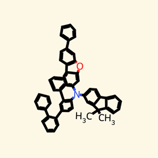 CC1(C)c2ccccc2-c2ccc(N(c3ccc4c(c3)oc3cc(-c5ccccc5)ccc34)c3ccc(-c4ccccc4-c4ccccc4)cc3-c3ccccc3)cc21